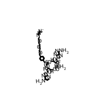 B[P@]1(=O)OC[C@H]2O[C@@H](n3cnc4c(N)ccnc43)[C@H](F)[C@@H]2O[P@](=O)(SCc2ccc(COCCOCCOCCN=[N+]=[N-])cc2)OC[C@H]2O[C@@H](n3cnc4c(N)ncnc43)[C@H](F)[C@@H]2O1